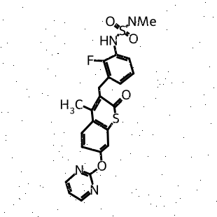 CNS(=O)(=O)Nc1cccc(Cc2c(C)c3ccc(Oc4ncccn4)cc3sc2=O)c1F